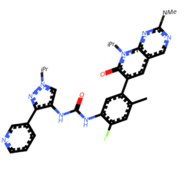 CNc1ncc2cc(-c3cc(NC(=O)Nc4cn(C(C)C)nc4-c4cccnc4)c(F)cc3C)c(=O)n(C(C)C)c2n1